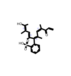 C=CC(=O)\C(C)=C/C(C)=C(\C(C)=C\C(C)=C(/C)O)c1ccccc1S(=O)(=O)O